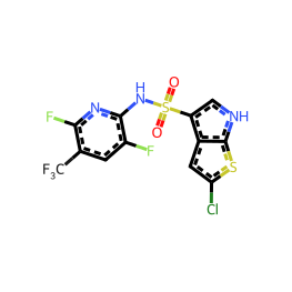 O=S(=O)(Nc1nc(F)c(C(F)(F)F)cc1F)c1c[nH]c2sc(Cl)cc12